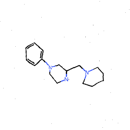 c1ccc(N2CC[N]C(CN3CCCCC3)C2)cc1